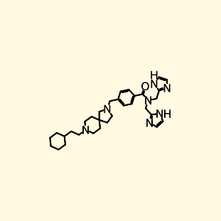 O=C(c1ccc(CN2CCC3(CCN(CCC4CCCCC4)CC3)C2)cc1)N(Cc1ncc[nH]1)Cc1ncc[nH]1